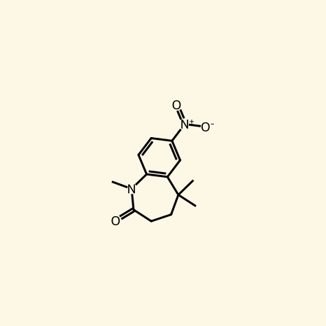 CN1C(=O)CCC(C)(C)c2cc([N+](=O)[O-])ccc21